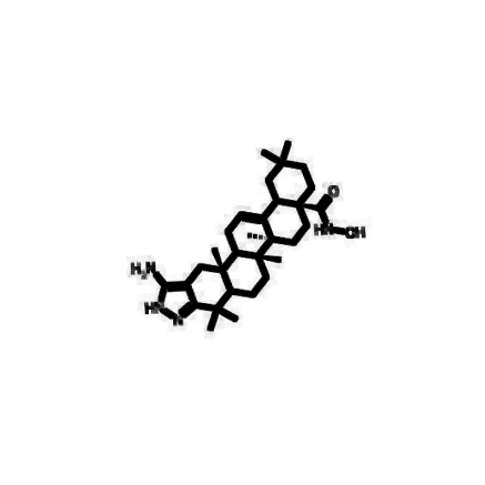 CC1(C)CC[C@]2(C(=O)NO)CC[C@]3(C)C(=CCC4[C@@]5(C)Cc6c(n[nH]c6N)C(C)(C)C5CC[C@]43C)C2C1